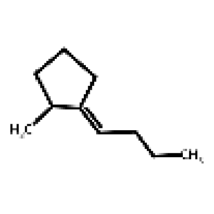 CCCC=C1CCCC1C